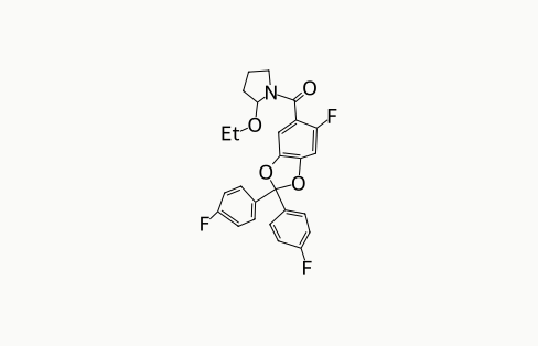 CCOC1CCCN1C(=O)c1cc2c(cc1F)OC(c1ccc(F)cc1)(c1ccc(F)cc1)O2